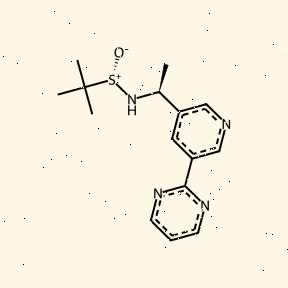 C[C@H](N[S@@+]([O-])C(C)(C)C)c1cncc(-c2ncccn2)c1